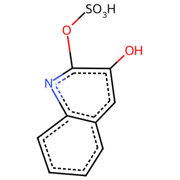 O=S(=O)(O)Oc1nc2ccccc2cc1O